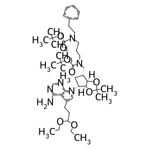 CCOC(CCc1cn([C@@H]2C[C@H](CN(CCCN(CCc3ccccc3)C(=O)OC(C)(C)C)C(=O)OC(C)(C)C)[C@H]3OC(C)(C)O[C@H]32)c2ncnc(N)c12)OCC